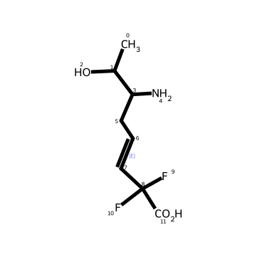 CC(O)C(N)C/C=C/C(F)(F)C(=O)O